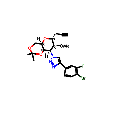 C#CC[C@H]1O[C@@H]2COC(C)(C)O[C@@H]2[C@H](n2cc(-c3ccc(Br)c(F)c3)nn2)[C@H]1OC